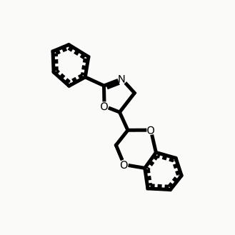 c1ccc(C2=NCC(C3COc4ccccc4O3)O2)cc1